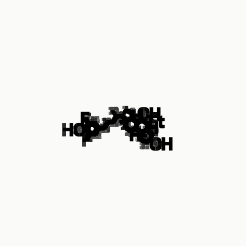 CC[C@H]1[C@@H](O)C2[C@@H]3CC[C@H]([C@H](C)CCCc4cc(F)c(O)c(F)c4)C3(C)CC[C@@H]2[C@@]2(C)CC[C@@H](O)C[C@@H]12